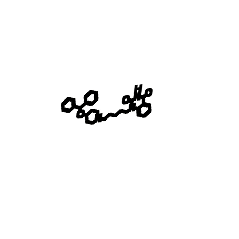 O=c1[nH]c(=O)n(CCCCCN2CCC(OC(c3ccccc3)c3ccccc3)CC2)c2ccccc12